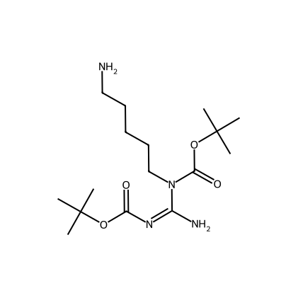 CC(C)(C)OC(=O)N=C(N)N(CCCCCN)C(=O)OC(C)(C)C